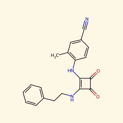 Cc1cc(C#N)ccc1Nc1c(NCCc2ccccc2)c(=O)c1=O